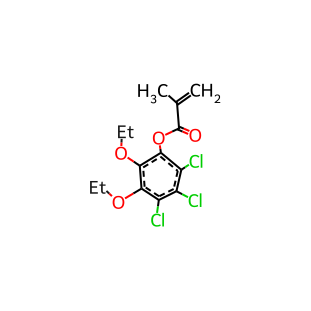 C=C(C)C(=O)Oc1c(Cl)c(Cl)c(Cl)c(OCC)c1OCC